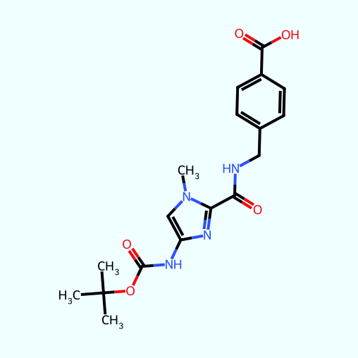 Cn1cc(NC(=O)OC(C)(C)C)nc1C(=O)NCc1ccc(C(=O)O)cc1